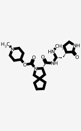 CN[C@H](C[C@@H]1CCNC1=O)NC(=O)[C@@H]1CC2(CCCC2)CN1C(=O)OC1CCN(C)CC1